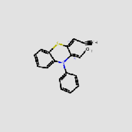 C#C/C=C1/Sc2ccccc2N(c2ccccc2)/C1=C/C